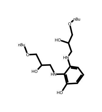 CCCCOCC(O)CNc1cccc(O)c1NCC(O)COCCCC